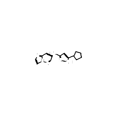 c1cn2ncc(Nc3cc(C4CCCC4)[nH]n3)cc2n1